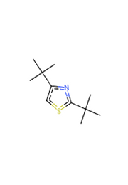 CC(C)(C)c1csc(C(C)(C)C)n1